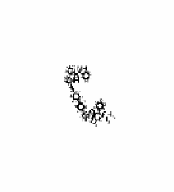 CN(C)[C@@H](C(=O)N1CCC[C@H]1c1ncc(-c2ccc(-c3ccc(C#Cc4cnc([C@@H]5CCCN5C(=O)[C@H](N)c5ccccc5)[nH]4)cc3)cc2)[nH]1)c1ccccc1